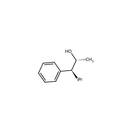 CC(C)[C@@H](c1ccccc1)[C@@H](C)O